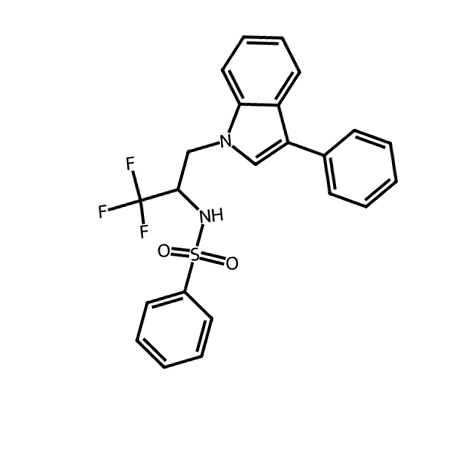 O=S(=O)(NC(Cn1cc(-c2ccccc2)c2ccccc21)C(F)(F)F)c1ccccc1